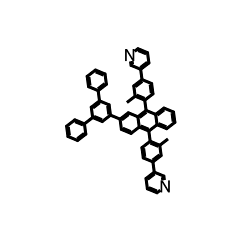 Cc1cc(-c2cccnc2)ccc1-c1c2ccccc2c(-c2ccc(-c3cccnc3)cc2C)c2cc(-c3cc(-c4ccccc4)cc(-c4ccccc4)c3)ccc12